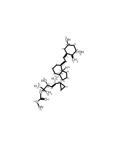 C=C1/C(=C\C=C2/CCC[C@]3(C)[C@@H](C4(/C=C/[C@H](O)C(C)(C)OC(=O)OCCC)CC4)CC[C@@H]23)C[C@@H](O)C[C@@H]1O